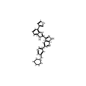 c1cc(-c2ccoc2)c2nc(-c3n[nH]c4ncc(-c5cncc(CN6CCCCC6)c5)cc34)[nH]c2c1